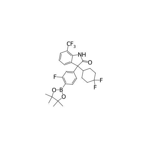 CC1(C)OB(c2ccc(C3(C4CCC(F)(F)CC4)C(=O)Nc4c(C(F)(F)F)cccc43)cc2F)OC1(C)C